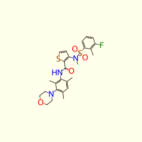 Cc1cc(C)c(N2CCOCC2)c(C)c1NC(=O)c1sccc1N(C)S(=O)(=O)c1cccc(F)c1C